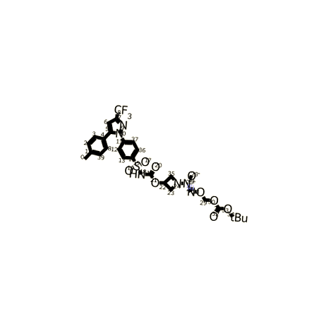 Cc1ccc(-c2cc(C(F)(F)F)nn2-c2ccc(S(=O)(=O)NC(=O)OC3CN(/[N+]([O-])=N/OCOC(=O)OC(C)(C)C)C3)cc2)cc1